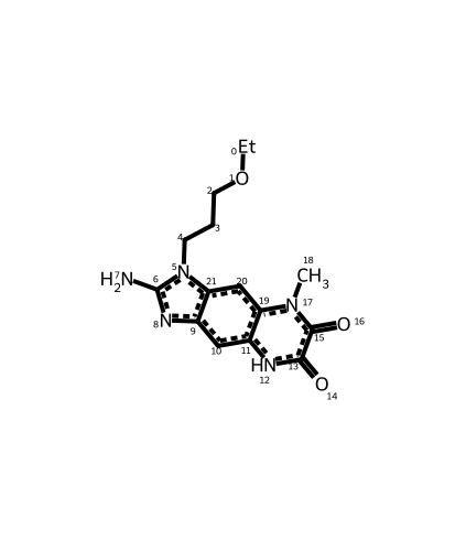 CCOCCCn1c(N)nc2cc3[nH]c(=O)c(=O)n(C)c3cc21